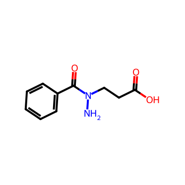 NN(CCC(=O)O)C(=O)c1ccccc1